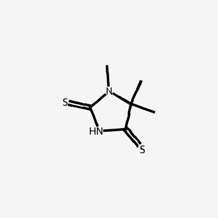 CN1C(=S)NC(=S)C1(C)C